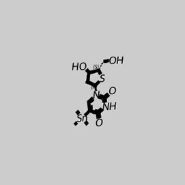 [CH3][Sn]([CH3])([CH3])[c]1cn([C@H]2CC(O)[C@H](CO)S2)c(=O)[nH]c1=O